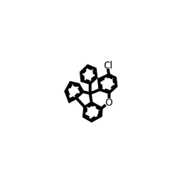 Clc1ccc2c(c1)C1(c3ccccc3)c3ccccc3-c3cccc(c31)O2